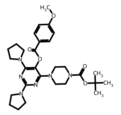 COc1ccc(C(=O)Oc2c(N3CCCC3)nc(N3CCCC3)nc2N2CCN(C(=O)OC(C)(C)C)CC2)cc1